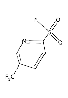 O=S(=O)(F)c1ccc(C(F)(F)F)cn1